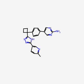 Cc1ccc(-c2nnc(C3(c4ccc(-c5cnc(N)nc5)cc4)CCC3)[nH]2)cn1